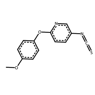 COc1ccc(Oc2ccc(N=C=S)cn2)cc1